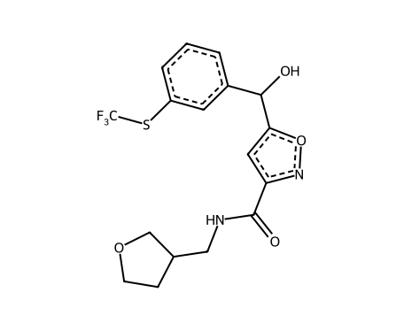 O=C(NCC1CCOC1)c1cc(C(O)c2cccc(SC(F)(F)F)c2)on1